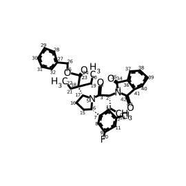 CC[C@H](C(=O)N1[C@H](c2cc(F)cc(Cl)c2)CC[C@@H]1C(CC)(CC)C(=O)OCc1ccccc1)N1C(=O)c2ccccc2C1=O